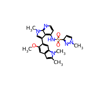 COc1cc2cc(C)n(C)c2cc1-c1cn(C)c2nccc(NS(=O)(=O)c3ccn(C)n3)c12